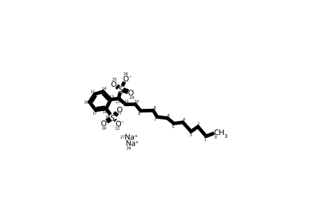 CCCCCCCCCCCCC(c1ccccc1S(=O)(=O)[O-])S(=O)(=O)[O-].[Na+].[Na+]